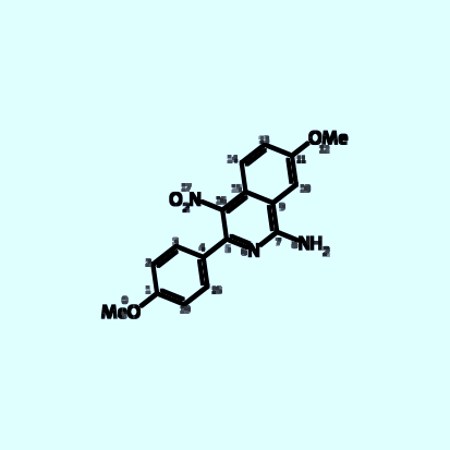 COc1ccc(-c2nc(N)c3cc(OC)ccc3c2[N+](=O)[O-])cc1